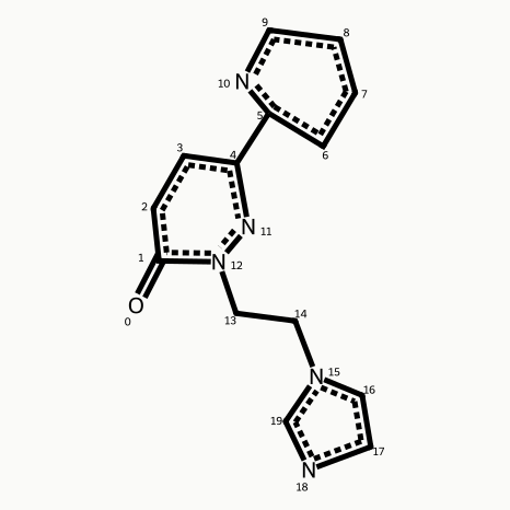 O=c1ccc(-c2ccccn2)nn1CCn1ccnc1